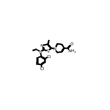 CCN(c1nc(C)c(N2CC=C(C(N)=O)CC2)s1)c1ccc(Cl)cc1Cl